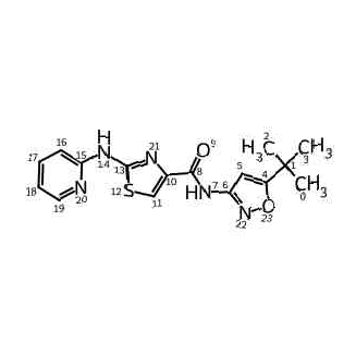 CC(C)(C)c1cc(NC(=O)c2csc(Nc3ccccn3)n2)no1